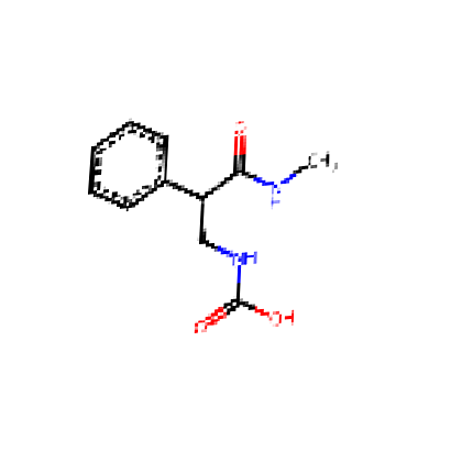 CNC(=O)[C@@H](CNC(=O)O)c1ccccc1